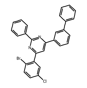 Clc1ccc(Br)c(-c2cc(-c3cccc(-c4ccccc4)c3)nc(-c3ccccc3)n2)c1